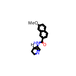 COc1ccc2ccc(C(=O)NC3CN4CC[C@H]3C4)cc2c1